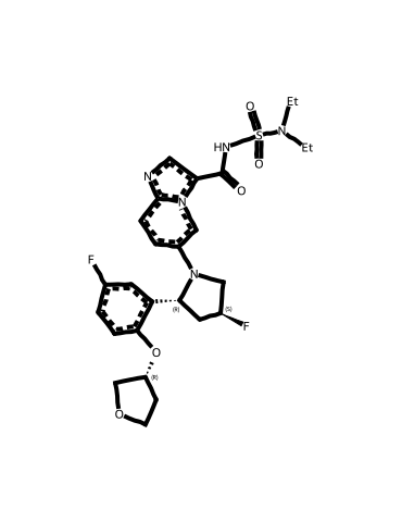 CCN(CC)S(=O)(=O)NC(=O)c1cnc2ccc(N3C[C@@H](F)C[C@@H]3c3cc(F)ccc3O[C@@H]3CCOC3)cn12